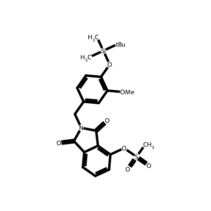 COc1cc(CN2C(=O)c3cccc(OS(C)(=O)=O)c3C2=O)ccc1O[Si](C)(C)C(C)(C)C